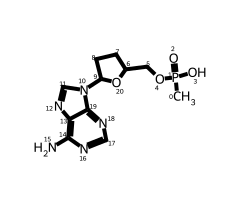 CP(=O)(O)OCC1CCC(n2cnc3c(N)ncnc32)O1